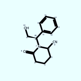 N#CC1CCCC(=O)N1[C@@H](CO)c1ccccc1